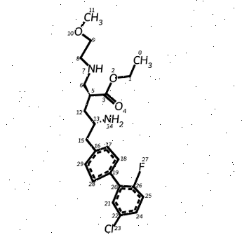 CCOC(=O)[C@H](CNCCOC)C[C@H](N)Cc1ccc(-c2cc(Cl)ccc2F)cc1